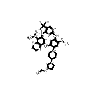 CCO[C@@H]1CCN(C2CCN(c3cc(OC)c(Nc4ncc(C(F)(F)F)c(Nc5ccc6c(c5P(C)C)OCCO6)n4)cc3C)CC2)C1